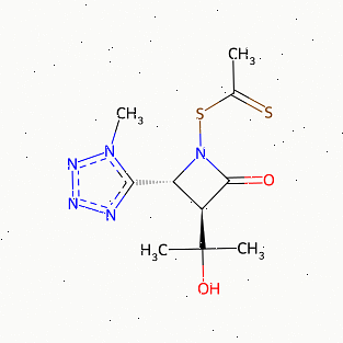 CC(=S)SN1C(=O)[C@@H](C(C)(C)O)[C@@H]1c1nnnn1C